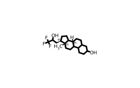 C[C@]12CCC3C4CCC(O)CC4CC[C@H]3C1CC[C@@H]2CC(O)C(F)(F)F